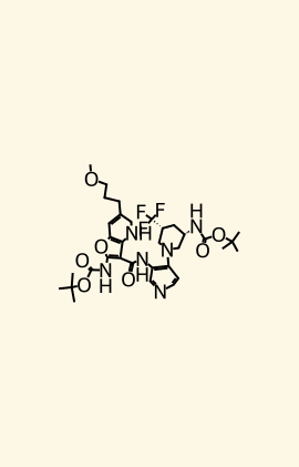 COCCCC1=Cc2oc(NC(=O)OC(C)(C)C)c(C(=O)Nc3cnccc3N3C[C@@H](NC(=O)OC(C)(C)C)C[C@@H](C(F)(F)F)C3)c2NC1